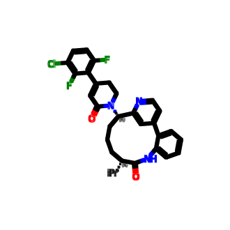 CC(C)[C@@H]1CCC[C@H](N2CCC(c3c(F)ccc(Cl)c3F)=CC2=O)c2cc(ccn2)-c2ccccc2NC1=O